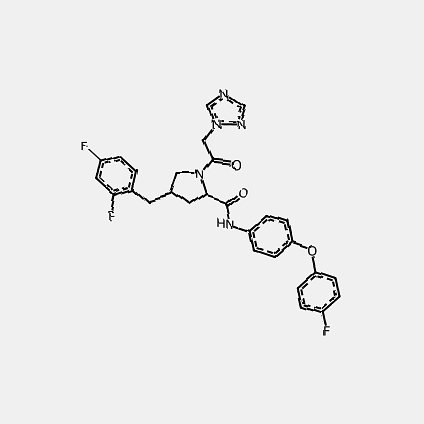 O=C(Nc1ccc(Oc2ccc(F)cc2)cc1)C1CC(Cc2ccc(F)cc2F)CN1C(=O)Cn1cncn1